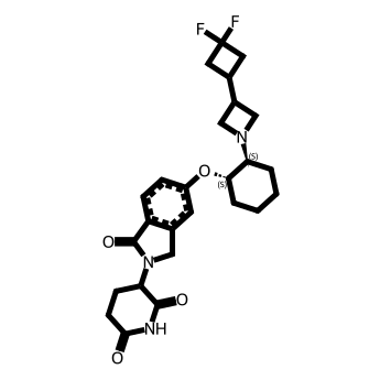 O=C1CCC(N2Cc3cc(O[C@H]4CCCC[C@@H]4N4CC(C5CC(F)(F)C5)C4)ccc3C2=O)C(=O)N1